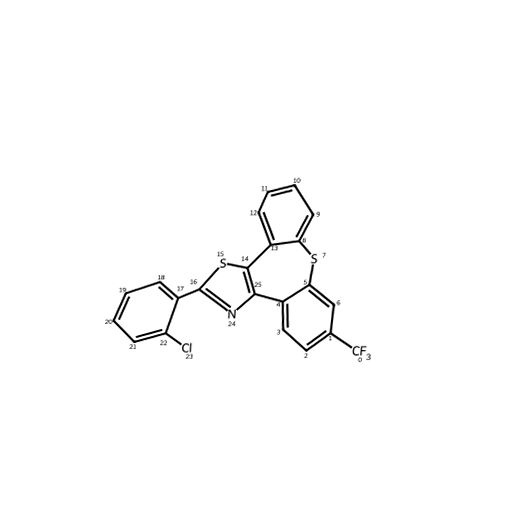 FC(F)(F)c1ccc2c(c1)Sc1ccccc1-c1sc(-c3ccccc3Cl)nc1-2